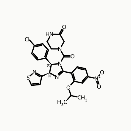 CC(C)Oc1cc([N+](=O)[O-])ccc1C1=N[C@@H](c2ccsn2)[C@@H](c2ccc(Cl)cc2)N1C(=O)N1CCNC(=O)C1